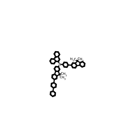 CC1(C)c2ccccc2-c2ccc(-c3ccc(N(c4ccc5c(c4)C(C)(C)c4cc(-c6ccc(-c7ccccc7)cc6)ccc4-5)c4cc5ccccc5c5ccccc45)cc3)cc21